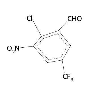 O=Cc1cc(C(F)(F)F)cc([N+](=O)[O-])c1Cl